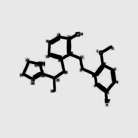 COc1ccc(Br)cc1CCc1c(Cl)cccc1CC(C)C1=NCCN1